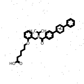 CC(C)N(Cc1ccccc1OCCCCCC(=O)O)C(=O)c1ccc(C23CCC(c4ccccc4)(CC2)CC3)cc1